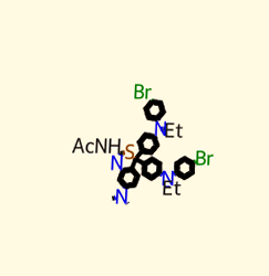 CCN(c1ccc(Br)cc1)c1ccc(C2(c3ccc(N(CC)c4ccc(Br)cc4)cc3)SC(NC(C)=O)=Nc3cc(N(C)C)ccc32)cc1